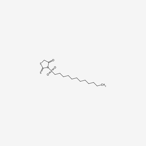 CCCCCCCCCCCCS(=O)(=O)N1C(=O)CSC1=S